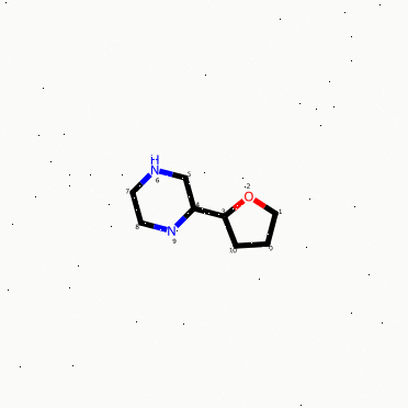 C1COC(C2CNCC[N]2)C1